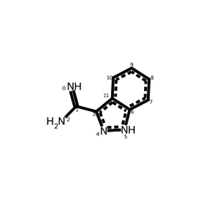 N=C(N)c1n[nH]c2ccccc12